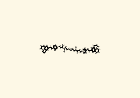 O=C(CC[n+]1ccc(/C=C/c2cc3c4c(c2)CCCN4CCC3)cc1)NCCSSCCNC(=O)CC[n+]1ccc(/C=C/c2cc3c4c(c2)CCCN4CCC3)cc1